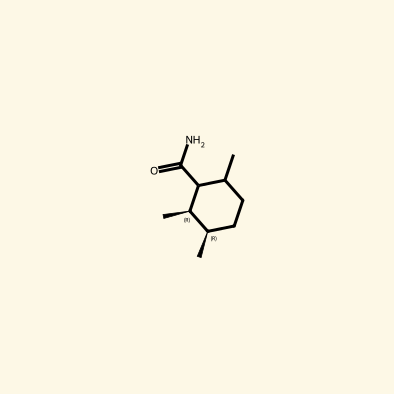 CC1CC[C@@H](C)[C@@H](C)C1C(N)=O